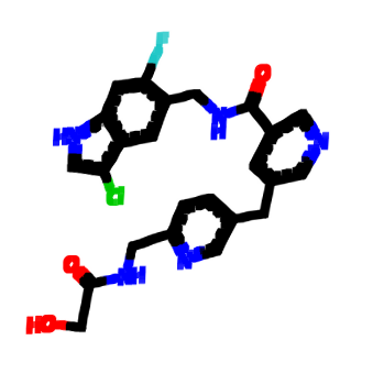 O=C(CO)NCc1ccc(Cc2cncc(C(=O)NCc3cc4c(Cl)c[nH]c4cc3F)c2)cn1